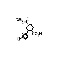 CC(C)(C)OC(=O)N1CCC(C(=O)O)=C(c2ccc(Cl)s2)C1